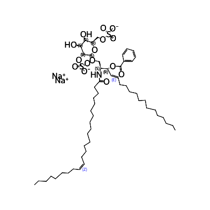 CCCCCCCC/C=C\CCCCCCCCCCCCCC(=O)N[C@@H](CO[C@H]1O[C@H](COS(=O)(=O)[O-])[C@H](O)[C@H](O)[C@H]1OS(=O)(=O)[O-])[C@@H](/C=C/CCCCCCCCCCCCC)OC(=O)c1ccccc1.[Na+].[Na+]